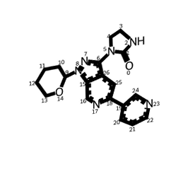 O=C1NCCN1c1nn(C2CCCCO2)c2cnc(-c3cccnc3)cc12